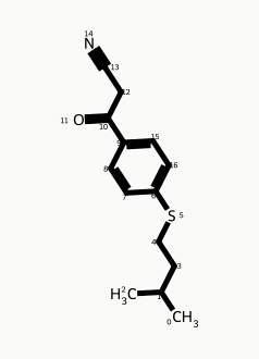 CC(C)CCSc1ccc(C(=O)CC#N)cc1